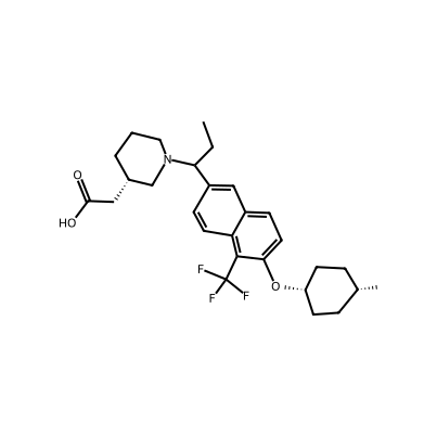 CCC(c1ccc2c(C(F)(F)F)c(O[C@H]3CC[C@@H](C)CC3)ccc2c1)N1CCC[C@@H](CC(=O)O)C1